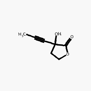 CC#CC1(O)CCOC1=O